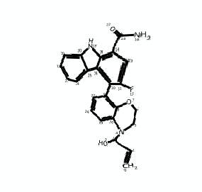 C=CC(O)N1CCOc2c(-c3c(F)cc(C(N)=O)c4[nH]c5ccccc5c34)cccc21